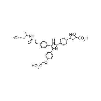 CCCCCCCCCCCC(C)NC(=O)C=Cc1ccc(-c2[nH]c(-c3ccc(C4=NOC(C(=O)O)C4)cc3)nc2-c2ccc(OCC(=O)O)cc2)cc1